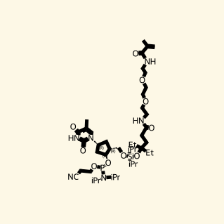 C=C(C)C(=O)NCCOCCOCCNC(=O)CCC(CC)(CC)O[Si](OC[C@H]1C[C@@H](n2cc(C)c(=O)[nH]c2=O)C[C@H]1OP(OCCC#N)N(C(C)C)C(C)C)(C(C)C)C(C)C